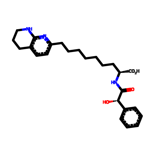 O=C(O)[C@H](CCCCCCCc1ccc2c(n1)NCCC2)NC(=O)[C@@H](O)c1ccccc1